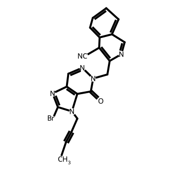 CC#CCn1c(Br)nc2cnn(Cc3ncc4ccccc4c3C#N)c(=O)c21